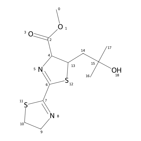 COC(=O)C1N=C(C2=NCCS2)SC1CC(C)(C)O